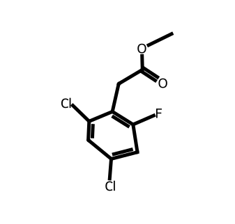 COC(=O)Cc1c(F)cc(Cl)cc1Cl